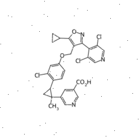 CC1(c2cncc(C(=O)O)c2)CC1c1ccc(OCc2c(-c3c(Cl)cncc3Cl)noc2C2CC2)cc1Cl